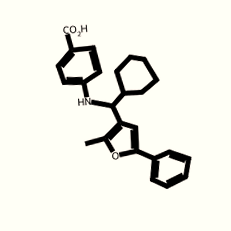 Cc1oc(-c2ccccc2)cc1C(Nc1ccc(C(=O)O)cc1)C1CCCCC1